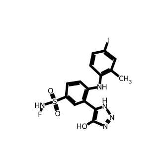 Cc1cc(I)ccc1Nc1ccc(S(=O)(=O)NF)cc1-c1[nH]nnc1O